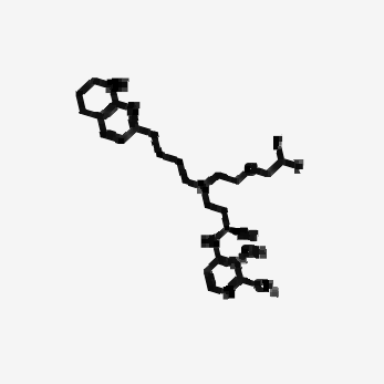 CC(=O)[C@H](CCN(CCCCc1ccc2c(n1)NCCC2)CCOCC(F)F)Nc1ccnc(C(F)(F)F)[n+]1O